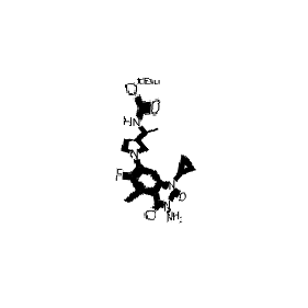 Cc1c(F)c(N2CC[C@@H]([C@H](C)NC(=O)OC(C)(C)C)C2)cc2c1c(=O)n(N)c(=O)n2C1CC1